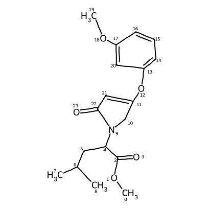 COC(=O)C(CC(C)C)N1CC(Oc2cccc(OC)c2)=CC1=O